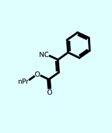 CCCOC(=O)C=C(C#N)c1ccccc1